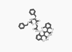 O=C(O)C(C(=O)C(C(=O)O)c1c(Cl)cccc1Cl)c1c(Cl)cccc1Cl.O=C(O)CNC(=O)[C@H](Cc1ccccc1)NC(=O)OCc1ccccc1